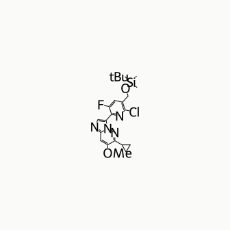 COc1cc2ncc(-c3nc(Cl)c(CO[Si](C)(C)C(C)(C)C)cc3F)n2nc1C1CC1